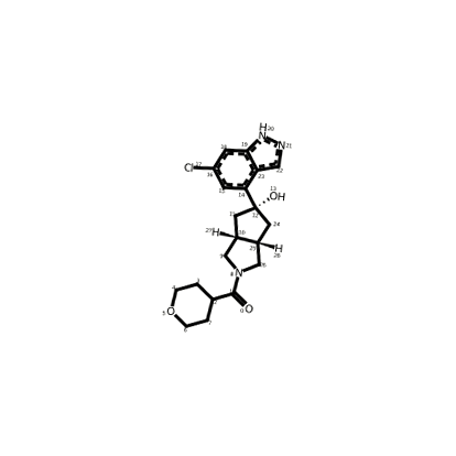 O=C(C1CCOCC1)N1C[C@@H]2C[C@@](O)(c3cc(Cl)cc4[nH]ncc34)C[C@@H]2C1